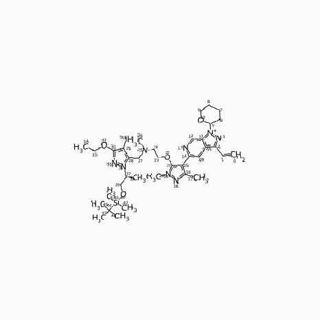 C=Cc1nn(C2CCCCO2)c2cnc(-c3c(C)nn(C)c3OCCN(C)Cc3c(I)c(OCC)nn3[C@@H](C)CO[Si](C)(C)C(C)(C)C)cc12